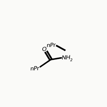 CCCC.CCCC(N)=O